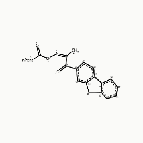 CCCCCC(=O)O/N=C(/C)C(=O)c1ccc2c(c1)Cc1ccccc1-2